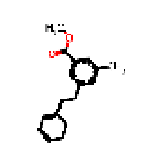 COC(=O)c1cc(C)cc(CCC2=CC=CCC2)c1